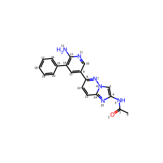 CC(=O)Nc1cn2nc(-c3cnc(N)c(-c4ccccc4)c3)ccc2n1